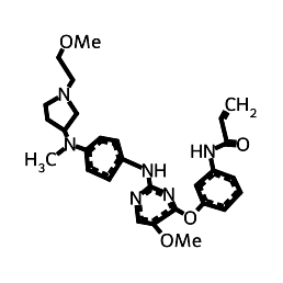 C=CC(=O)Nc1cccc(Oc2nc(Nc3ccc(N(C)C4CCN(CCOC)C4)cc3)ncc2OC)c1